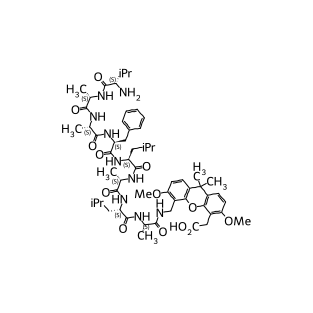 COc1ccc2c(c1CNC(=O)[C@H](C)NC(=O)[C@H](CC(C)C)NC(=O)[C@H](C)NC(=O)[C@H](CC(C)C)NC(=O)[C@H](Cc1ccccc1)NC(=O)[C@H](C)NC(=O)[C@H](C)NC(=O)[C@@H](N)C(C)C)Oc1c(ccc(OC)c1CC(=O)O)C2(C)C